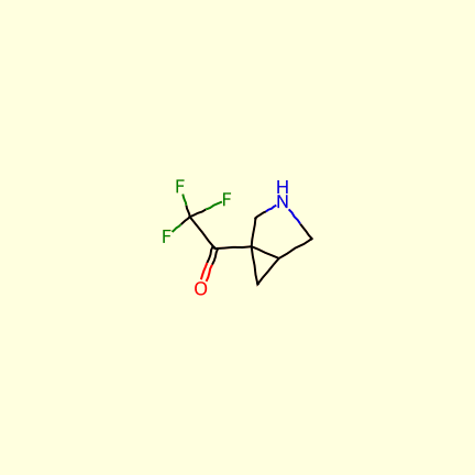 O=C(C(F)(F)F)C12CNCC1C2